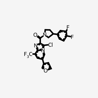 O=C(c1nc2c(C(F)(F)F)cc(-c3ccoc3)cn2c1Cl)N1CCC(c2ccc(F)c(F)c2)C1